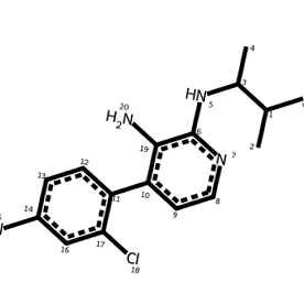 CC(C)C(C)Nc1nccc(-c2ccc(Cl)cc2Cl)c1N